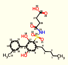 CCCCCc1cc(O)c(-c2cccc(C)c2)c(O)c1S(=O)(=O)NC(=O)CCC(=O)O